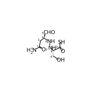 NC(=O)C[C@@H](C=O)NN[C@@H](CO)C(=O)S